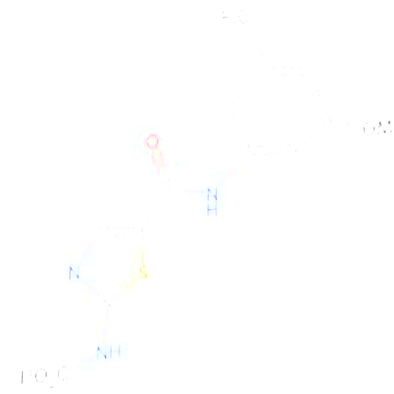 COc1cc(NC(=O)c2sc(NC(=O)O)nc2C)cc(C(F)(F)F)c1